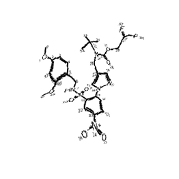 COc1ccc(CNS(=O)(=O)c2cc([N+](=O)[O-])ccc2-n2cc(CN(C(=O)OCC(F)F)C(C)(C)C)cn2)c(OC)c1